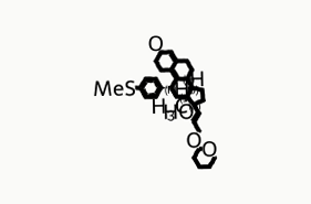 CSc1ccc([C@H]2C[C@@]3(C)[C@@H](CC[C@@]3(O)C=CCOC3CCCCO3)[C@@H]3CCC4=CC(=O)CCC4=C32)cc1